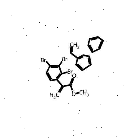 C=C(C(=O)OC)c1ccc(Br)c(Br)c1Br.C=Cc1ccccc1.c1ccccc1